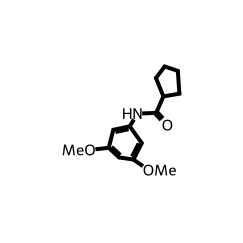 COc1cc(NC(=O)C2CCCC2)cc(OC)c1